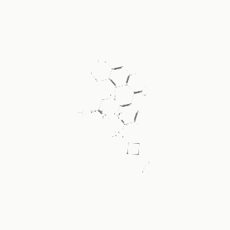 CO[C@H]1C[C@H](N(C)c2ccc3c(=O)c4ccc(Cl)c(SC)c4n(CC(=O)O)c3n2)C1